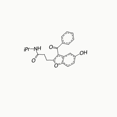 CC(C)NC(=O)CCc1oc2ccc(O)cc2c1C(=O)c1ccccc1